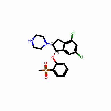 CS(=O)(=O)c1ccccc1O[C@H]1c2cc(Cl)cc(Cl)c2C[C@@H]1N1CCNCC1